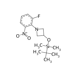 CC(C)(C)[Si](C)(C)OC1CN(c2c(F)cccc2[N+](=O)[O-])C1